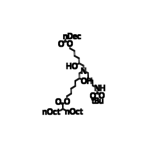 CCCCCCCCCCC(=O)OCCCCC(O)CN(CCCCNC(=O)OC(C)(C)C)CC(O)CCCCCOC(=O)C(CCCCCCCC)CCCCCCCC